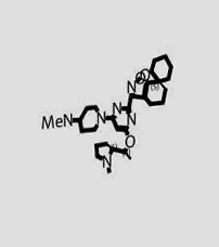 CNC1CCN(c2cc(O[C@@H](C)[C@@H]3CCCN3C)nc(-c3noc4c3CCC[C@@]43CCCCC3=O)n2)CC1